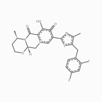 Cc1nc(-c2cn3c(c(O)c2=O)C(=O)N2[C@H](C)CCO[C@H]2C3)sc1Cc1ccc(F)cc1F